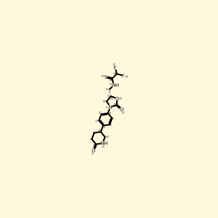 O=C1CCC(c2ccc(N3C[C@H](CNC(=S)C(F)F)OC3=O)cc2)CN1